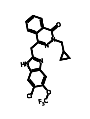 O=c1c2ccccc2c(Cc2nc3cc(OC(F)(F)F)c(Cl)cc3[nH]2)nn1CC1CC1